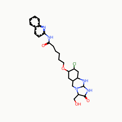 O=C(CCCCCOC1CC2CN3C(NC(=O)C3CO)NC2CC1Cl)Nc1ccc2ccccc2n1